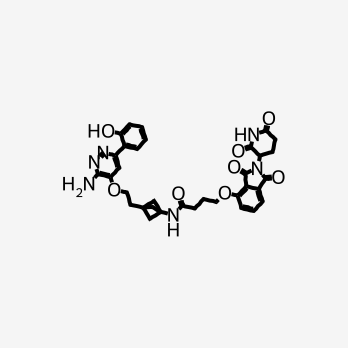 Nc1nnc(-c2ccccc2O)cc1OCCC12CC(NC(=O)CCCOc3cccc4c3C(=O)N(C3CCC(=O)NC3=O)C4=O)(C1)C2